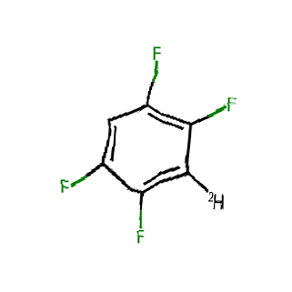 [2H]c1c(F)c(F)cc(F)c1F